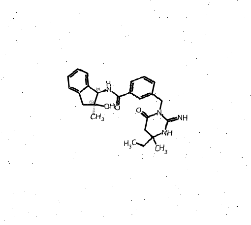 CCC1(C)CC(=O)N(Cc2cccc(C(=O)N[C@@H]3c4ccccc4C[C@]3(C)O)c2)C(=N)N1